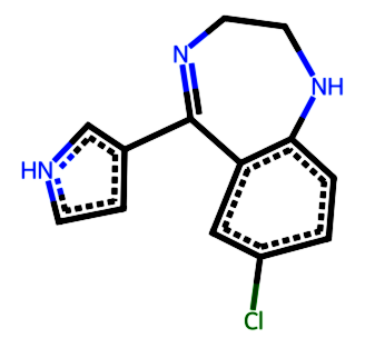 Clc1ccc2c(c1)C(c1cc[nH]c1)=NCCN2